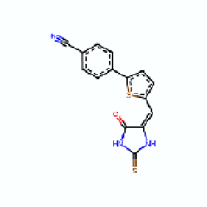 N#Cc1ccc(-c2ccc(C=C3NC(=S)NC3=O)s2)cc1